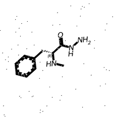 CN[C@H](Cc1ccccc1)C(=O)NN